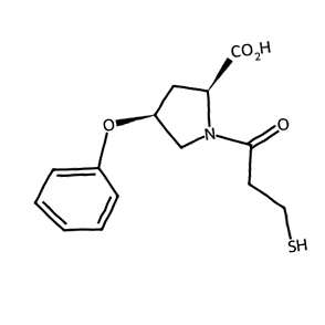 O=C(O)[C@@H]1C[C@H](Oc2ccccc2)CN1C(=O)CCS